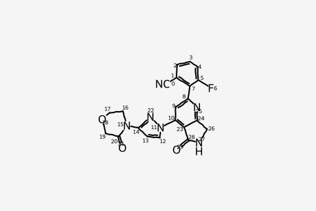 N#Cc1cccc(F)c1-c1cc(-n2ccc(N3CCOCC3=O)n2)c2c(n1)CNC2=O